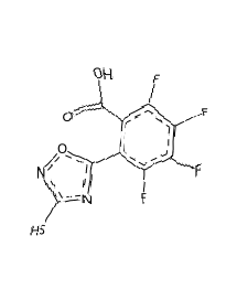 O=C(O)c1c(F)c(F)c(F)c(F)c1-c1nc(S)no1